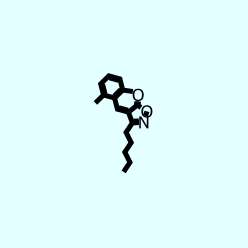 CCCCCC1=NOC(=O)C1=Cc1c(C)cccc1C